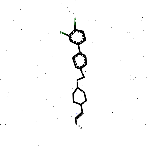 C/C=C/C1CCC(CCc2ccc(-c3ccc(F)c(F)c3)cc2)CC1